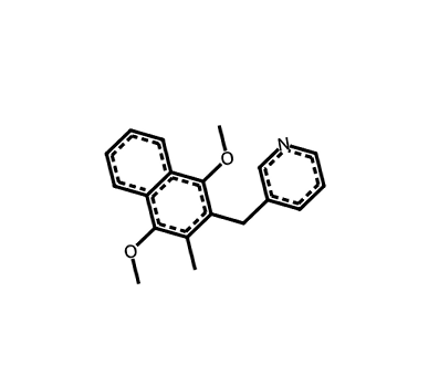 COc1c(C)c(Cc2cccnc2)c(OC)c2ccccc12